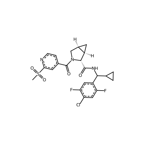 CS(=O)(=O)c1cc(C(=O)N2C[C@H]3C[C@H]3[C@@H]2C(=O)NC(c2cc(F)c(Cl)cc2F)C2CC2)ccn1